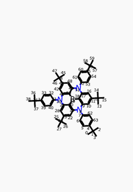 CC(C)(C)c1ccc(N2c3cc(C(C)(C)C)cc4c3B3c5c2cc(C(C)(C)C)cc5N(c2ccc(C(C)(C)C)cc2)c2cc(C(C)(C)C)cc(c23)N4c2ccc(C(C)(C)C)cc2)cc1